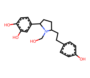 OCN1C(CCc2ccc(O)cc2)CCC1c1ccc(O)c(O)c1